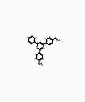 NCc1ccc(-c2cc(-c3ccccc3)nc(-c3ccc(N)cc3)c2)cc1